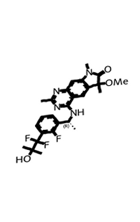 COC1(C)C(=O)N(C)c2cc3nc(C)nc(N[C@H](C)c4cccc(C(F)(F)C(C)(C)O)c4F)c3cc21